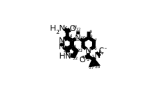 [C-]#[N+]C1(C(=O)N2CCC(C)C(N(C)c3c(C(N)=O)nnc4[nH]ccc34)C2)CC1